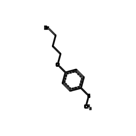 FC(F)(F)Sc1ccc(OCCCBr)cc1